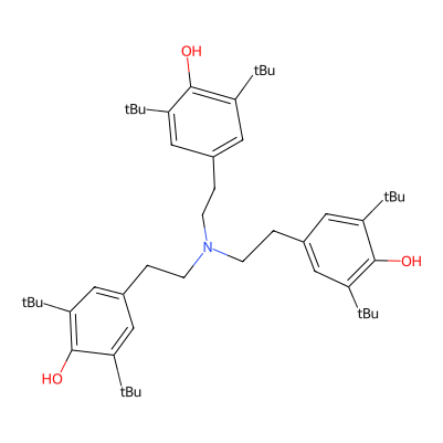 CC(C)(C)c1cc(CCN(CCc2cc(C(C)(C)C)c(O)c(C(C)(C)C)c2)CCc2cc(C(C)(C)C)c(O)c(C(C)(C)C)c2)cc(C(C)(C)C)c1O